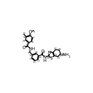 COc1ccc(C(=O)NCc2cccc(C(=O)Nc3nc4c(s3)C[C@@H](N)CC4)c2)cc1C